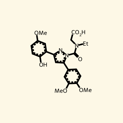 CCN(CC(=O)O)C(=O)n1nc(-c2cc(OC)ccc2O)cc1-c1ccc(OC)c(OC)c1